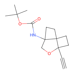 C#CC12CCC13CCC3(NC(=O)OC(C)(C)C)CO2